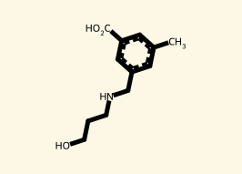 Cc1cc(CNCCCO)cc(C(=O)O)c1